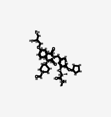 CNC(=O)[C@@H](C)Oc1cc(Cn2c(=O)c3cc(OCC(F)CF)ccc3n(C3CCN(C=O)CC3)c2=O)ccc1OC1CCCC1